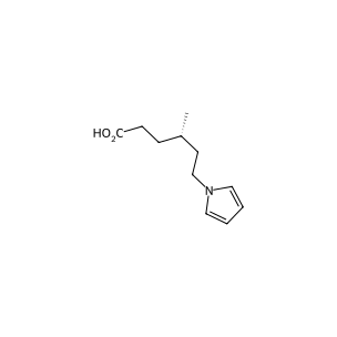 C[C@@H](CCC(=O)O)CCn1cccc1